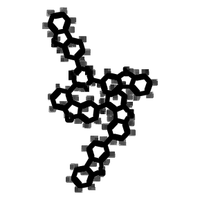 c1cc(-c2nc(-c3ccc4c(c3)sc3ccccc34)nc(-c3ccc4c(c3)sc3ccccc34)n2)c2c(c1)oc1ccc(-c3cccc4sc5ccc(-c6ccc7c(c6)sc6ccccc67)cc5c34)cc12